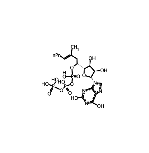 CCCC=C(C)CC(OP(=O)(O)OP(=O)(O)OP(=O)(O)O)[C@H]1O[C@@H](n2cnc3c(O)nc(O)nc32)[C@H](O)[C@@H]1O